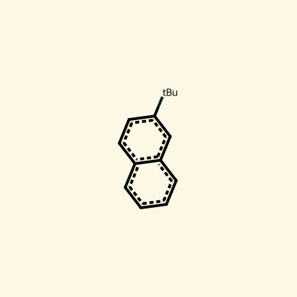 CC(C)(C)c1ccc2ccccc2c1